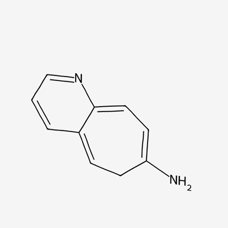 NC1=CC=c2ncccc2=CC1